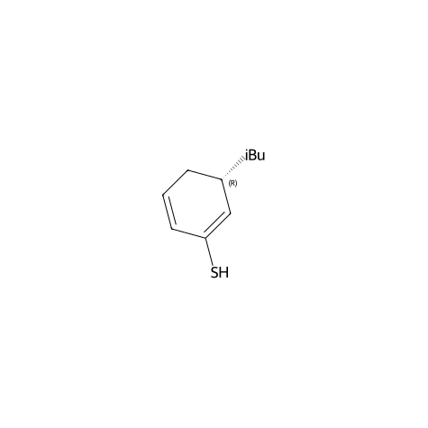 CCC(C)[C@@H]1C=C(S)C=CC1